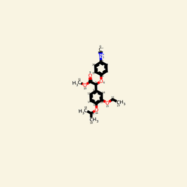 [C-]#[N+]c1ccc(OC(C(=O)OC)c2ccc(OC(C)C)c(OCC)c2)cc1